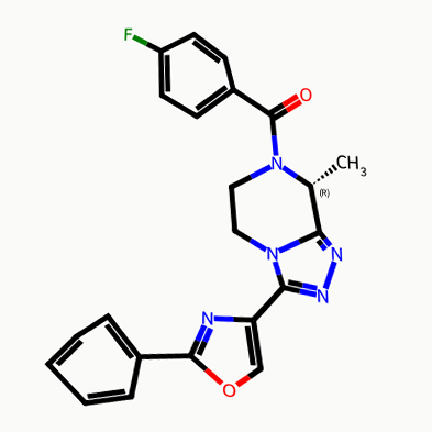 C[C@@H]1c2nnc(-c3coc(-c4ccccc4)n3)n2CCN1C(=O)c1ccc(F)cc1